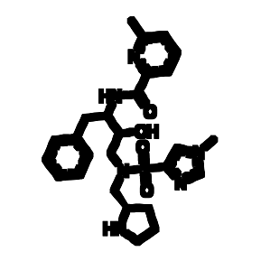 Cc1cccc(C(=O)NC(Cc2ccccc2)C(O)CN(C[C@H]2CCCN2)S(=O)(=O)c2cn(C)cn2)n1